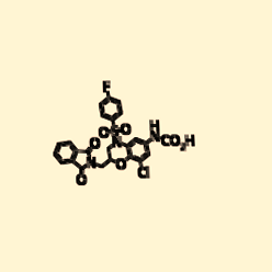 O=C(O)Nc1cc(Cl)c2c(c1)N(S(=O)(=O)c1ccc(F)cc1)CC(CN1C(=O)c3ccccc3C1=O)O2